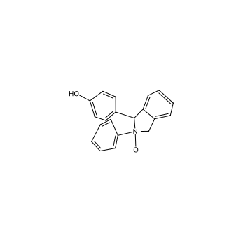 [O-][N+]1(c2ccccc2)Cc2ccccc2C1c1ccc(O)cc1